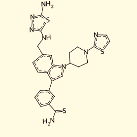 NC(=S)c1cccc(-c2cn(C3CCN(c4nccs4)CC3)c3cc(CNc4nnc(N)s4)ccc23)c1